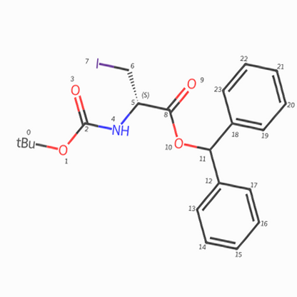 CC(C)(C)OC(=O)N[C@H](CI)C(=O)OC(c1ccccc1)c1ccccc1